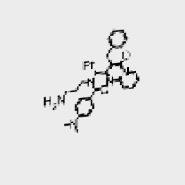 CCC(c1nc2ccccn2c(=O)c1Cc1ccccc1)N(CCCN)C(=O)c1ccc(N(C)C)cc1